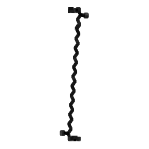 COC(=O)CC=CCCCCCCCCCCCCCCCCCCCCCC(=O)OC